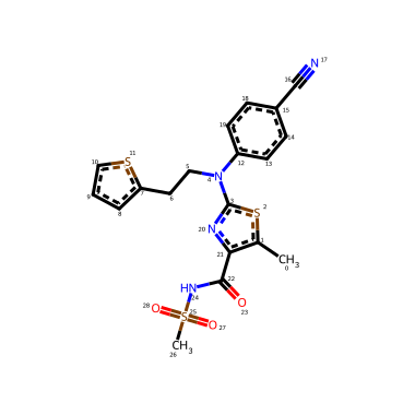 Cc1sc(N(CCc2cccs2)c2ccc(C#N)cc2)nc1C(=O)NS(C)(=O)=O